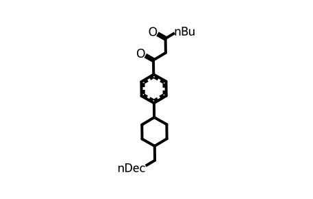 CCCCCCCCCCCC1CCC(c2ccc(C(=O)CC(=O)CCCC)cc2)CC1